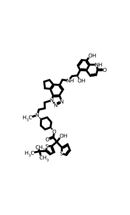 CN(CCCn1nnc2cc(CNC[C@H](O)c3ccc(O)c4[nH]c(=O)ccc34)c3c(c21)CCC3)[C@H]1CC[C@H](OC(=O)C(O)(c2cccs2)c2ccc(C(C)(C)C)s2)CC1